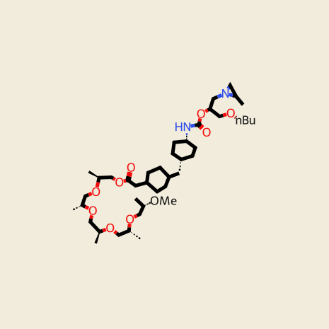 CCCCOCC(CN1CC1C)OC(=O)N[C@H]1CC[C@@H](CC2CCC(CC(=O)OC[C@H](C)OC[C@@H](C)OC[C@H](C)OC[C@@H](C)OC[C@H](C)OC)CC2)CC1